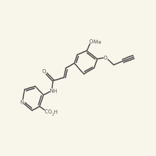 C#CCOc1ccc(/C=C/C(=O)Nc2ccncc2C(=O)O)cc1OC